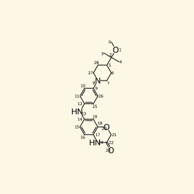 COC(C)(C)C1CCN(c2ccc(Nc3ccc4c(c3)OCC(=O)N4)cc2)CC1